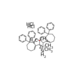 CC1CC2C(=CCCCC2(c2ccccc2)c2ccccc2)[CH]1[Zr]([CH3])([CH3])(=[SiH2])[CH]1C2=CCCCC(c3ccccc3)(c3ccccc3)C2CC1C.Cl.Cl